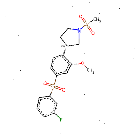 COc1cc(S(=O)(=O)c2cccc(F)c2)ccc1[C@@H]1CCN(S(C)(=O)=O)C1